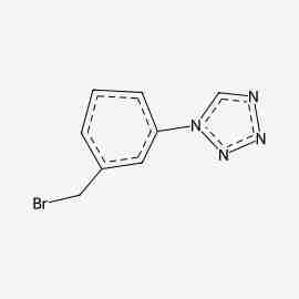 BrCc1cccc(-n2cnnn2)c1